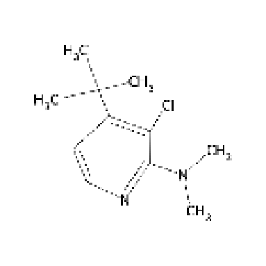 CN(C)c1nccc(C(C)(C)C)c1Cl